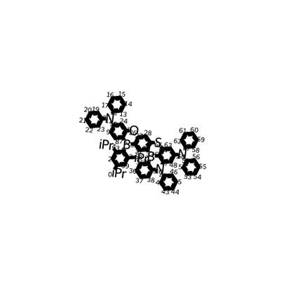 CC(C)c1cc(C(C)C)c(B2c3ccc(N(c4ccccc4)c4ccccc4)cc3Oc3cc4c(cc32)B2c3ccccc3N(c3ccccc3)c3cc(N(c5ccccc5)c5ccccc5)cc(c32)S4)c(C(C)C)c1